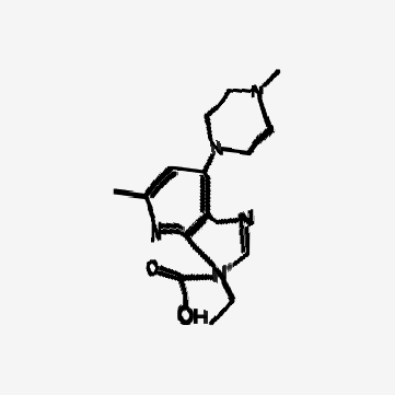 CC[N+]1(C(=O)O)C=Nc2c(N3CCN(C)CC3)cc(C)nc21